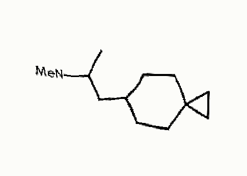 CNC(C)CC1CCC2(CC1)CC2